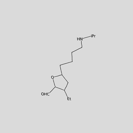 CCC1CC(CCCCNC(C)C)OC1C=O